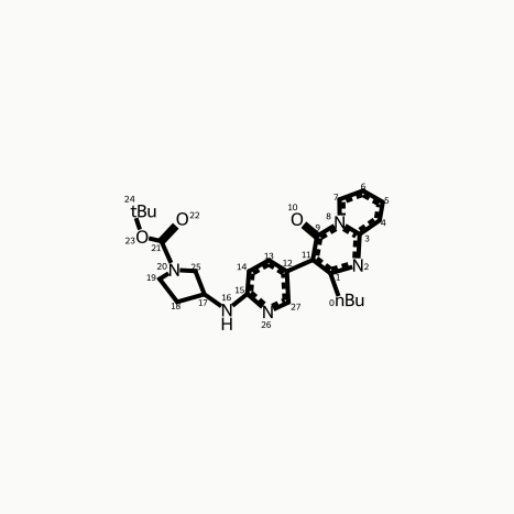 CCCCc1nc2ccccn2c(=O)c1-c1ccc(NC2CCN(C(=O)OC(C)(C)C)C2)nc1